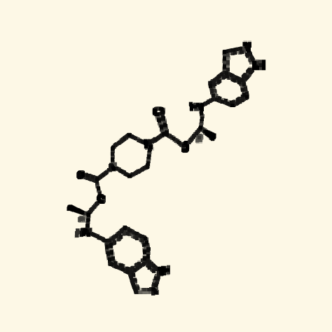 C[C@H](Nc1ccc2[nH]ncc2c1)OC(=O)N1CCN(C(=O)O[C@H](C)Nc2ccc3[nH]ncc3c2)CC1